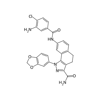 NC(=O)c1nn(-c2ccc3c(c2)OCO3)c2c1CCc1ccc(NC(=O)c3ccc(Cl)c(N)c3)cc1-2